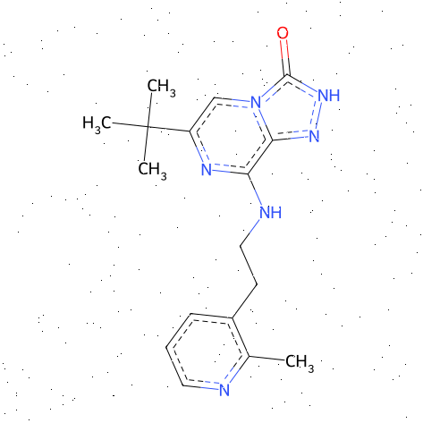 Cc1ncccc1CCNc1nc(C(C)(C)C)cn2c(=O)[nH]nc12